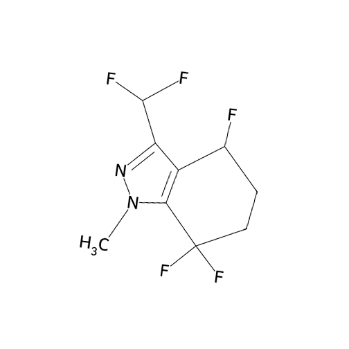 Cn1nc(C(F)F)c2c1C(F)(F)CCC2F